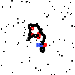 C/C=C1\CC2CC(=O)OC(/C=C/C=C\C=C\CC(=O)Nc3ccccc3)C(C)/C=C/C(C)CC3CCCC(CC(C1)O2)O3